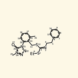 CCSC(=NCCc1ccccc1)SCc1c(C)cccc1-n1nnn(C)c1=O